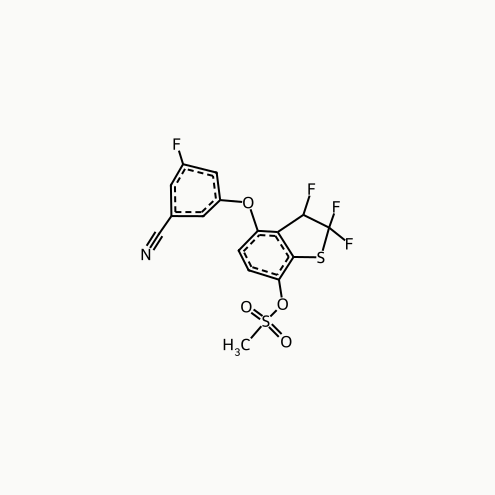 CS(=O)(=O)Oc1ccc(Oc2cc(F)cc(C#N)c2)c2c1SC(F)(F)C2F